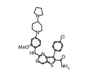 COc1cc(N2CCC(N3CCCC3)CC2)ccc1Nc1ncc2sc(C(N)=O)c(-c3ccc(Cl)cc3)c2n1